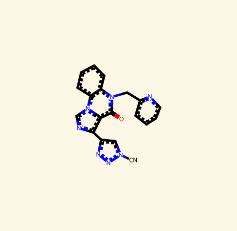 N#Cn1cc(-c2ncn3c2c(=O)n(Cc2ccccn2)c2ccccc23)nn1